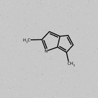 CC1=NC2=C(C)C=CC2=C1